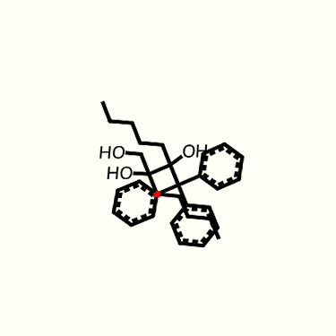 CCCCCC(O)(CO)C(O)(CCCCC)C(c1ccccc1)(c1ccccc1)c1ccccc1